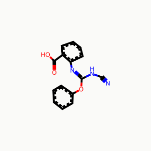 N#CN/C(=N\c1ccccc1C(=O)O)Oc1ccccc1